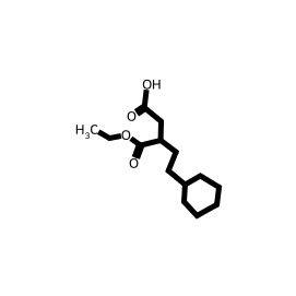 CCOC(=O)C(CCC1CCCCC1)CC(=O)O